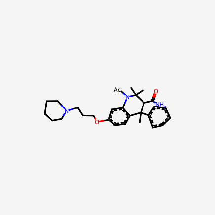 CC(=O)N1c2cc(OCCCN3CCCCC3)[c]cc2C(C)(c2ccccc2)C(C(N)=O)C1(C)C